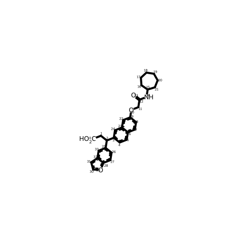 O=C(O)CC(c1ccc2ccc(OCC(=O)NC3CCCCCC3)cc2c1)c1ccc2occc2c1